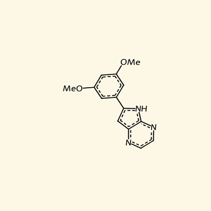 COc1cc(OC)cc(-c2cc3nccnc3[nH]2)c1